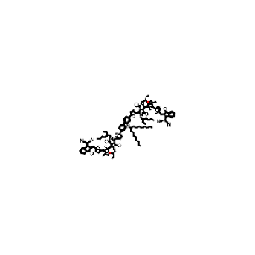 CCCCCCCCC(CCCCCCCC)n1c2cc(-c3ccc(C4=C5C(=O)N(CC(CC)CCCC)C(c6ccc(-c7ccc(/C=C8\C(=O)c9ccccc9C8=C(C#N)C#N)s7)s6)=C5C(=O)N4CC(CC)CCCC)s3)ccc2c2ccc(-c3ccc(C4=C5C(=O)N(CC(CC)CCCC)C(c6ccc(-c7ccc(/C=C8\C(=O)c9ccccc9C8=C(C#N)C#N)s7)s6)=C5C(=O)N4CC(CC)CCCC)s3)cc21